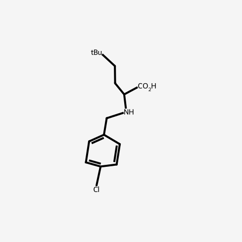 CC(C)(C)CCC(NCc1ccc(Cl)cc1)C(=O)O